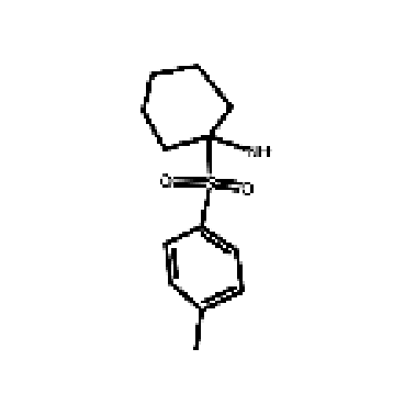 Cc1ccc(S(=O)(=O)C2([NH])CCCCC2)cc1